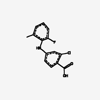 Cc1cccc(F)c1Nc1ccc(C(=O)O)c(Cl)c1